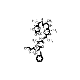 C[C@H](NC(=O)[C@H](C)NC(=O)[C@H](C)NC(=O)[C@H](C)NC(=O)[C@H](C)NC(=O)[C@H](C)NC(=O)[C@H](Cc1ccccc1)NC(=O)[C@@H](N)CS)C(=O)O